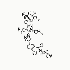 Cn1nc(OS(=O)(=O)C(F)(C(F)(F)F)C(F)(F)F)c(C(F)(F)F)c1-n1cc(-c2ccc(Cl)c(C(=O)N[C@H]3C[C@@H]3C#N)c2)cn1